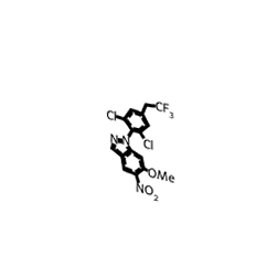 COc1cc2c(cnn2-c2c(Cl)cc(CC(F)(F)F)cc2Cl)cc1[N+](=O)[O-]